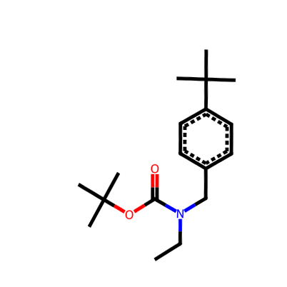 CCN(Cc1ccc(C(C)(C)C)cc1)C(=O)OC(C)(C)C